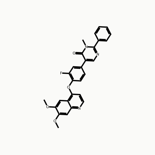 COc1cc2nccc(Oc3ccc(-c4cnc(-c5ccccc5)n(C)c4=O)cc3F)c2cc1OC